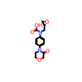 O=C(O)N(CC1CO1)c1ccc(N2CCOCC2=O)cc1